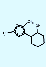 Cc1cc(C2CCCCC2O)c(C)o1